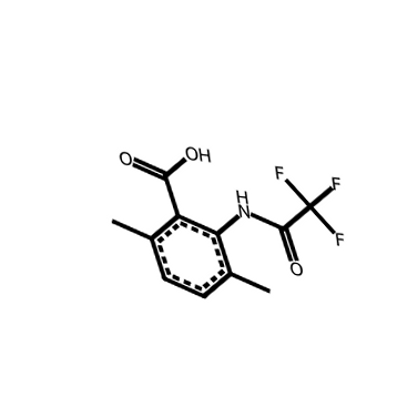 Cc1ccc(C)c(C(=O)O)c1NC(=O)C(F)(F)F